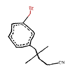 CC(C)(CC#N)c1cccc(Br)c1